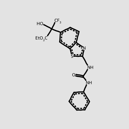 CCOC(=O)C(O)(c1ccc2nc(NC(=O)Nc3ccccc3)sc2c1)C(F)(F)F